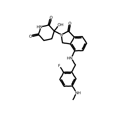 CNc1ccc(F)c(CNc2cccc3c2CN(C2(O)CCC(=O)NC2=O)C3=O)c1